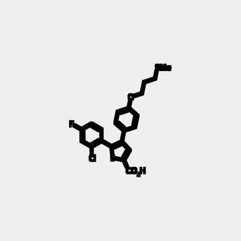 CSCCCOc1ccc(-c2cc(C(=O)O)sc2-c2ccc(F)cc2Cl)cc1